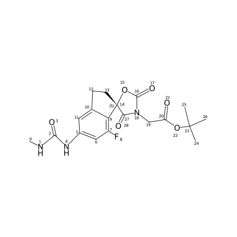 CNC(=O)Nc1cc(F)c2c(c1)CC[C@]21OC(=O)N(CC(=O)OC(C)(C)C)C1=O